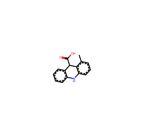 Cc1cccc2c1C(C(=O)O)c1ccccc1N2